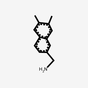 Cc1cc2ccc(CN)cc2cc1C